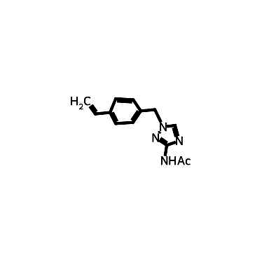 C=Cc1ccc(Cn2cnc(NC(C)=O)n2)cc1